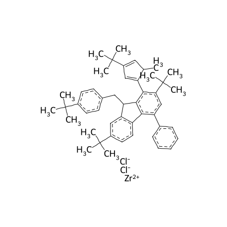 CC1C=C(C(C)(C)C)C=C1c1c(C(C)(C)C)cc(-c2ccccc2)c2c1C(Cc1ccc(C(C)(C)C)cc1)c1cc(C(C)(C)C)ccc1-2.[Cl-].[Cl-].[Zr+2]